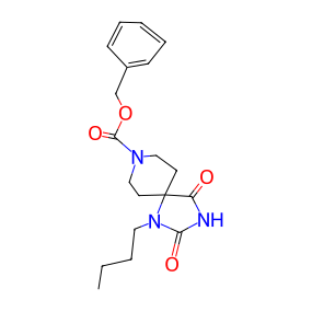 CCCCN1C(=O)NC(=O)C12CCN(C(=O)OCc1ccccc1)CC2